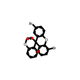 Brc1ccc2c(c1)C1(c3ccccc3Oc3ccccc31)c1cccc(Br)c1O2